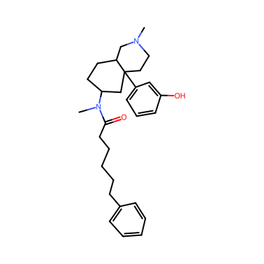 CN1CCC2(c3cccc(O)c3)CC(N(C)C(=O)CCCCCc3ccccc3)CCC2C1